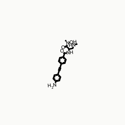 CNCC(NC(=O)c1ccc(C#Cc2ccc(N)cc2)cc1)C(=O)N(C)O